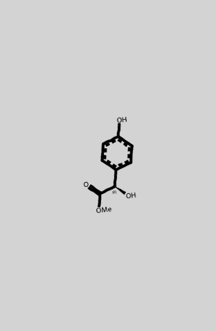 COC(=O)[C@H](O)c1ccc(O)cc1